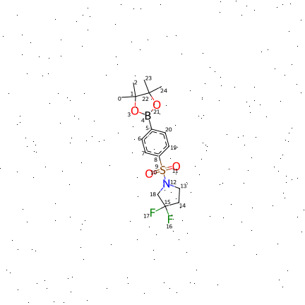 CC1(C)OB(c2ccc(S(=O)(=O)N3CCC(F)(F)C3)cc2)OC1(C)C